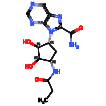 CCC(=O)N[C@H]1C[C@@H](n2c(C(N)=O)nc3[c]ncnc32)[C@H](O)[C@@H]1O